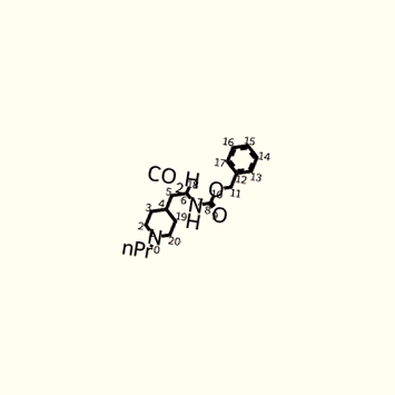 CCCN1CCC(CC(NC(=O)OCc2ccccc2)C(=O)O)CC1